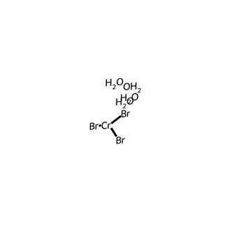 O.O.O.O.[Br][Cr]([Br])[Br]